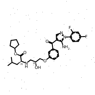 CC(C)C[C@H](NC[C@H](O)COc1cccc(C(=O)c2cnn(-c3ccc(F)cc3F)c2N)c1)C(=O)OC1CCCC1